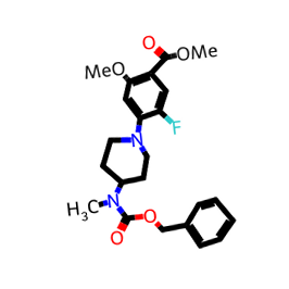 COC(=O)c1cc(F)c(N2CCC(N(C)C(=O)OCc3ccccc3)CC2)cc1OC